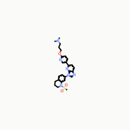 CN(C)CCCOc1ccc(-c2ccc3ncn(-c4ccc5c(c4)N(S(C)(=O)=O)CCC5)c3n2)cn1